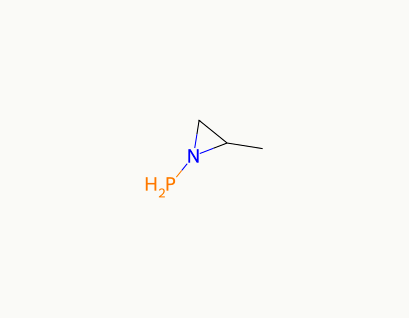 CC1CN1P